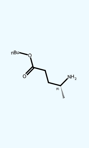 CCCCOC(=O)CC[C@@H](C)N